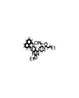 CC/C=C/C(=O)N1CCN(c2nc(OCC)nc3c2CCN(c2cccc4cccc(C)c24)C3)C[C@@H]1CN=O